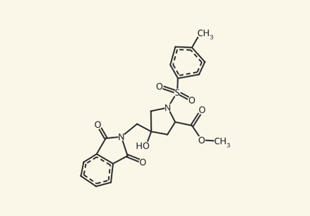 COC(=O)C1CC(O)(CN2C(=O)c3ccccc3C2=O)CN1S(=O)(=O)c1ccc(C)cc1